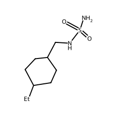 CCC1CCC(CNS(N)(=O)=O)CC1